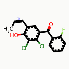 C/C=C\c1cc(C(=O)c2ccccc2F)c(Cl)c(Cl)c1O